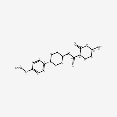 CCCCCCCCCOc1ccc([C@H]2CC[C@H](CC(=O)C3CCC(CCC)CC3=O)CC2)cc1